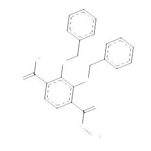 CNC(=O)c1ccc(C(=O)O)c(OCc2ccccc2)c1OCc1ccccc1